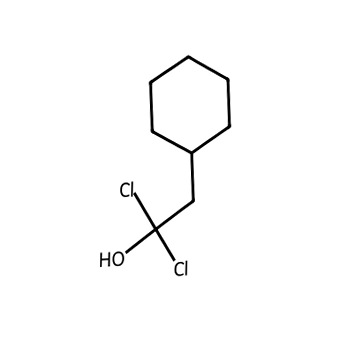 OC(Cl)(Cl)CC1CCCCC1